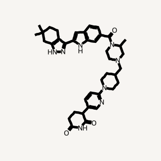 CC1CN(CC2CCN(c3ccc(C4CCC(=O)NC4=O)cn3)CC2)CCN1C(=O)c1ccc2cc(-c3n[nH]c4c3CCC(C)(C)C4)[nH]c2c1